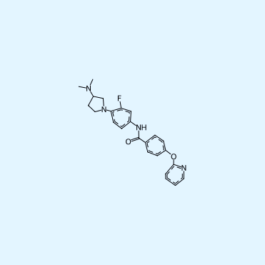 CN(C)C1CCN(c2ccc(NC(=O)c3ccc(Oc4ccccn4)cc3)cc2F)C1